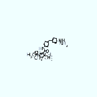 CC1(C)CCN(C(C)(C)C)C=C1C(=O)Nc1ccc(Cc2ccc(NN)cc2)cc1